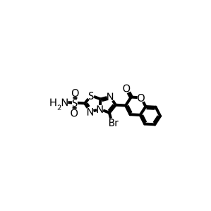 NS(=O)(=O)c1nn2c(Br)c(-c3cc4ccccc4oc3=O)nc2s1